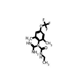 CCNC(=O)N(C(=N)N)c1c(C)cc(OC(F)(F)F)cc1C